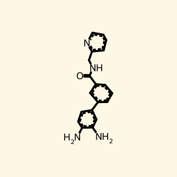 Nc1ccc(-c2cccc(C(=O)NCc3ccccn3)c2)cc1N